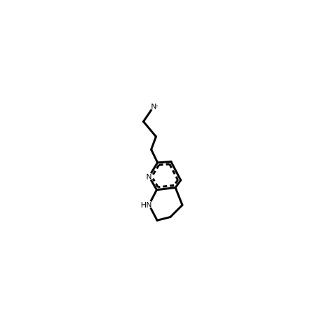 [N]CCCc1ccc2c(n1)NCCC2